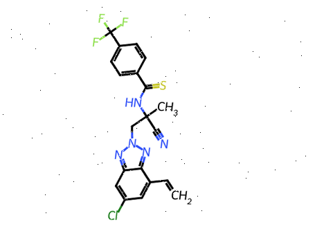 C=Cc1cc(Cl)cc2nn(CC(C)(C#N)NC(=S)c3ccc(C(F)(F)F)cc3)nc12